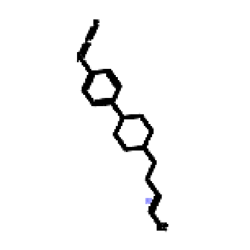 CC/C=C/CCC1CCC(c2ccc(N=C=S)cc2)CC1